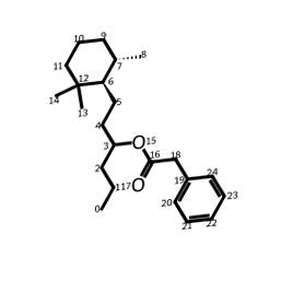 CCCC(CC[C@@H]1[C@@H](C)CCCC1(C)C)OC(=O)Cc1ccccc1